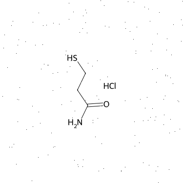 Cl.NC(=O)CCS